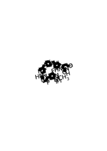 Cc1nc2c(F)cc(-c3nc(Nc4ccc(CN5CCN(Cc6ccc(NC7CCC(=O)NC7=O)cc6)CC5)cn4)ncc3F)cc2n1C(C)C